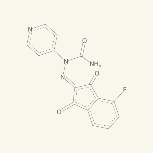 NC(=O)N(/N=c1/c(=O)c2cccc(F)c2c1=O)c1ccncc1